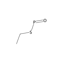 CCSP=O